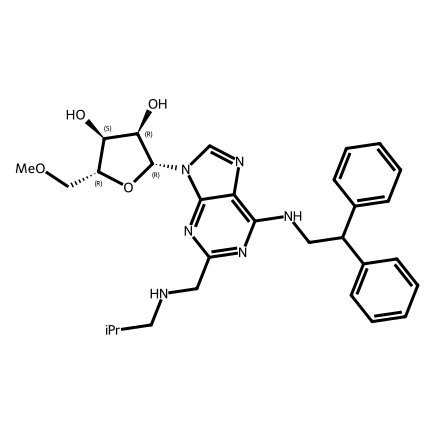 COC[C@H]1O[C@@H](n2cnc3c(NCC(c4ccccc4)c4ccccc4)nc(CNCC(C)C)nc32)[C@H](O)[C@@H]1O